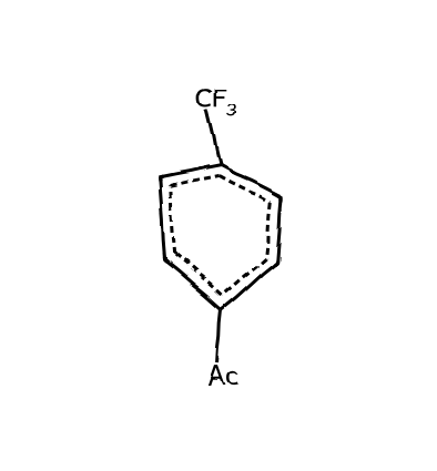 [CH2]C(=O)c1ccc(C(F)(F)F)cc1